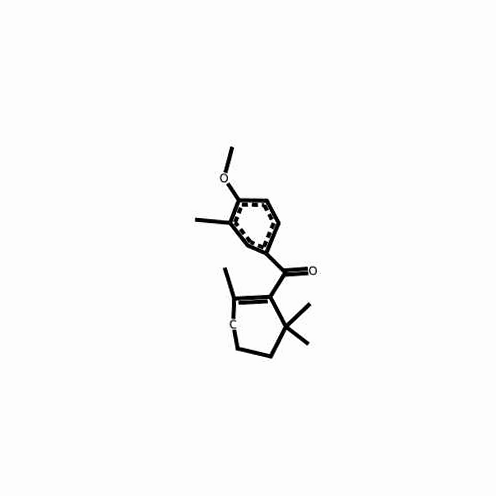 COc1ccc(C(=O)C2=C(C)CCCC2(C)C)cc1C